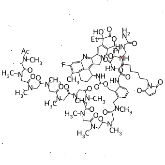 CC[C@@]1(O)C(=O)OCc2c1cc1n(c2=O)Cc2c-1nc1cc(F)c(C)c3c1c2[C@@H](NC(=O)OCc1c(CN(C)C(=O)CN(C)C(=O)CN(C)C(=O)CN(C)C(=O)CN(C)C(=O)CN(C)C(=O)CN(C)C(=O)CN(C)C(=O)CN(C)C(=O)CN(C)C(=O)CN(C)C(C)=O)cccc1NC(=O)[C@H](CCCNC(N)=O)NC(=O)[C@@H](NC(=O)CCCCCN1C(=O)C=CC1=O)C(C)C)CC3